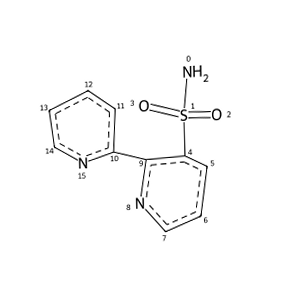 NS(=O)(=O)c1cccnc1-c1ccccn1